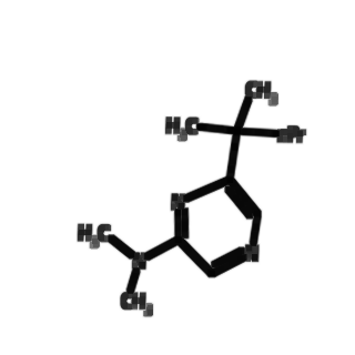 CCCC(C)(C)c1cncc(N(C)C)n1